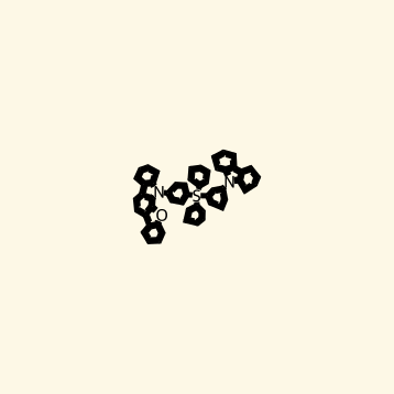 c1ccc(S(c2ccccc2)(c2ccc(-n3c4ccccc4c4ccc5c6ccccc6oc5c43)cc2)c2cccc(-n3c4ccccc4c4ccccc43)c2)cc1